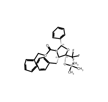 C[Si](C)(C)O[C@@]1(C(F)(F)F)O[C@@H](c2ccccc2)N(C(=O)OCc2ccccc2)[C@H]1Cc1ccccc1